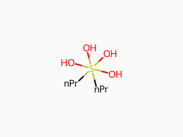 CCCS(O)(O)(O)(O)CCC